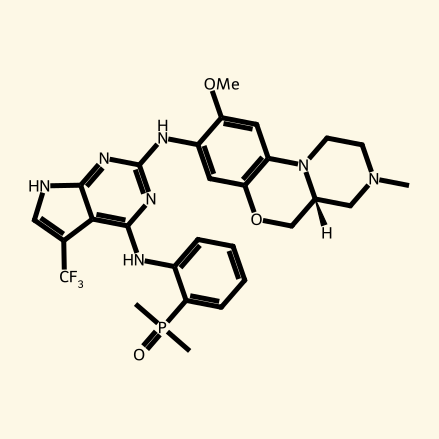 COc1cc2c(cc1Nc1nc(Nc3ccccc3P(C)(C)=O)c3c(C(F)(F)F)c[nH]c3n1)OC[C@H]1CN(C)CCN21